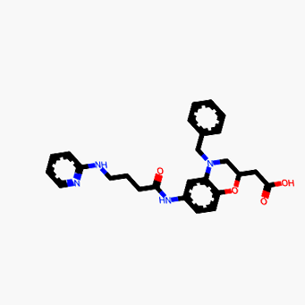 O=C(O)CC1CN(Cc2ccccc2)c2cc(NC(=O)CCCNc3ccccn3)ccc2O1